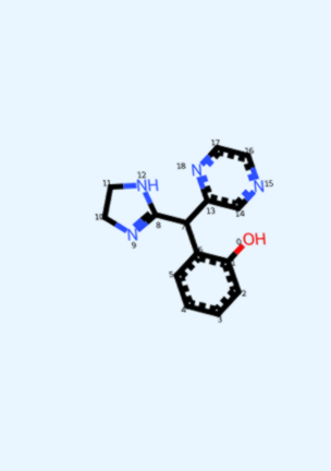 Oc1ccccc1C(C1=NCCN1)c1cnccn1